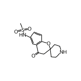 CS(=O)(=O)Nc1ccc2c(c1)C(=O)CC1(CCNCC1)O2